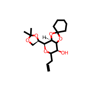 C=CCC1O[C@@H]([C@H]2COC(C)(C)O2)[C@H]2OC3(CCCCC3)OC2[C@H]1O